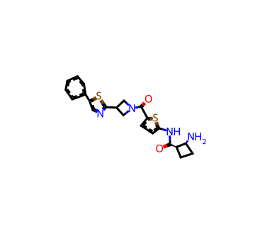 N[C@H]1CC[C@H]1C(=O)Nc1ccc(C(=O)N2CC(c3ncc(-c4ccccc4)s3)C2)s1